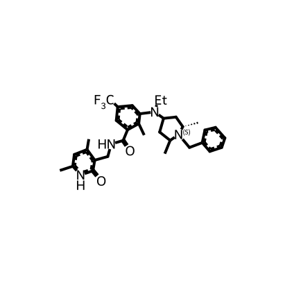 CCN(c1cc(C(F)(F)F)cc(C(=O)NCc2c(C)cc(C)[nH]c2=O)c1C)C1CC(C)N(Cc2ccccc2)[C@@H](C)C1